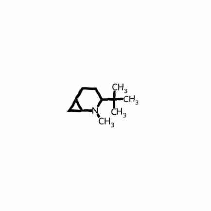 CN1C2CC2CCC1C(C)(C)C